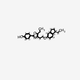 CCc1oc(-c2ccc(O)cc2)nc1CCOc1ccc2c(c1)CC[C@H]2CC